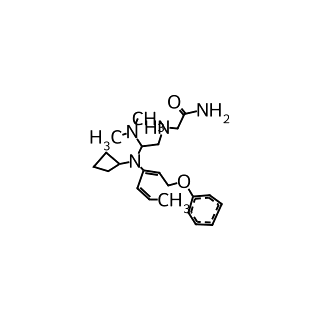 C/C=C\C(=C/COc1ccccc1)N(C1CCC1)C(CNCC(N)=O)N(C)C